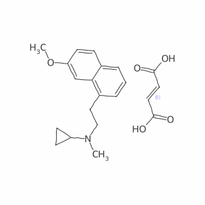 COc1ccc2cccc(CCN(C)C3CC3)c2c1.O=C(O)/C=C/C(=O)O